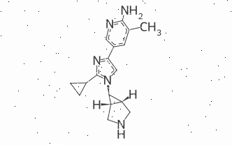 Cc1cc(-c2cn([C@H]3[C@@H]4CNC[C@@H]43)c(C3CC3)n2)cnc1N